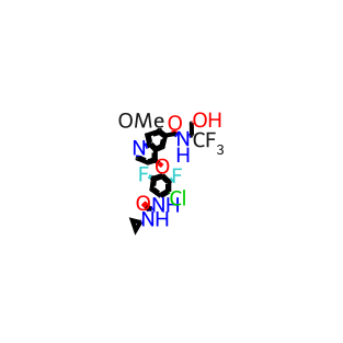 COc1cc2nccc(Oc3c(F)cc(NC(=O)NC4CC4)c(Cl)c3F)c2cc1C(=O)NC(CO)C(F)(F)F